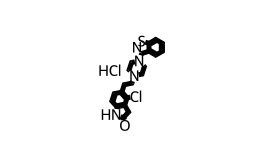 Cl.O=C1Cc2c(ccc(CCN3CCN(c4nsc5ccccc45)CC3)c2Cl)N1